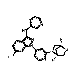 Oc1ccc2c(Nc3cnccn3)nn(-c3ccnc(N4C[C@@H]5C[C@H]4CN5)c3)c2c1